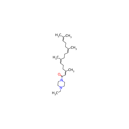 CCN1CCN(C(=O)C=C(C)CCC=C(C)CCC=C(C)CCC=C(C)C)CC1